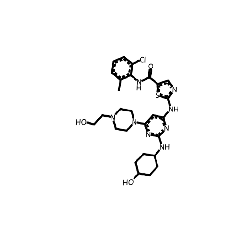 Cc1cccc(Cl)c1NC(=O)c1cnc(Nc2cc(N3CCN(CCO)CC3)nc(NC3CCC(O)CC3)n2)s1